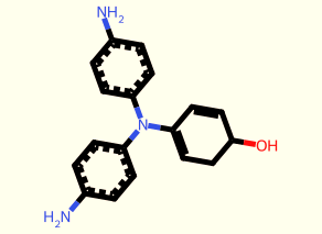 Nc1ccc(N(C2=CCC(O)C=C2)c2ccc(N)cc2)cc1